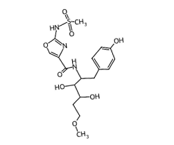 COCCC(O)C(O)C(Cc1ccc(O)cc1)NC(=O)c1coc(NS(C)(=O)=O)n1